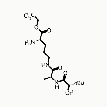 C[C@H](NC(=O)[C@@H](O)C(C)(C)C)C(=O)NCCC[C@H](N)C(=O)OCC(Cl)(Cl)Cl